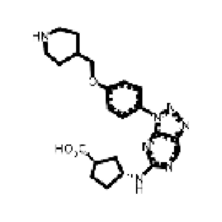 O=C(O)[C@@H]1CC[C@@H](Nc2ncc3nnn(-c4ccc(OCC5CCNCC5)cc4)c3n2)C1